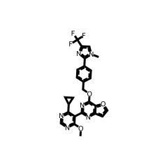 COc1ncnc(C2CC2)c1-c1nc(OCc2ccc(-c3nc(C(F)(F)F)cn3C)cc2)c2occc2n1